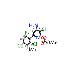 COC(=O)Oc1nc(-c2c(F)cc(Cl)c(OC)c2Cl)cc(N)c1Cl